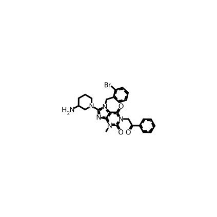 Cn1c(=O)n(CC(=O)c2ccccc2)c(=O)c2c1nc(N1CCCC(N)C1)n2Cc1ccccc1Br